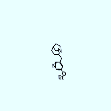 CCOc1cncc(CC2CCC3CCN2C3)c1